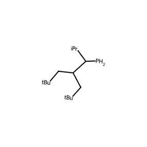 CC(C)C(P)C(CC(C)(C)C)CC(C)(C)C